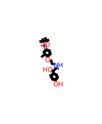 Cc1cc(B2OC(C)(C)C(C)(C)O2)ccc1OCCN[C@@H](C)[C@H](O)c1ccc(O)cc1